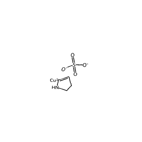 C1=CNCC1.O=S(=O)([O-])[O-].[Cu+2]